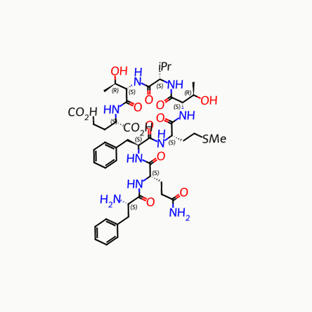 CSCC[C@H](NC(=O)[C@H](Cc1ccccc1)NC(=O)[C@H](CCC(N)=O)NC(=O)[C@@H](N)Cc1ccccc1)C(=O)N[C@H](C(=O)N[C@H](C(=O)N[C@H](C(=O)N[C@@H](CCC(=O)O)C(=O)O)[C@@H](C)O)C(C)C)[C@@H](C)O